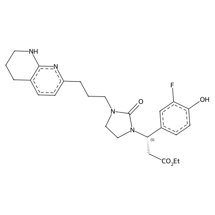 CCOC(=O)C[C@@H](c1ccc(O)c(F)c1)N1CCN(CCCc2ccc3c(n2)NCCC3)C1=O